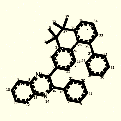 CC1(C)c2cc(-c3nc4ccccc4nc3-c3ccccc3)ccc2-c2c(-c3ccccc3)cccc2C1(C)C